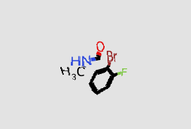 CNC=O.Fc1ccccc1Br